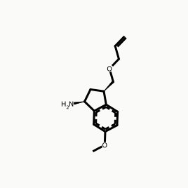 C=CCOC[C@@H]1C[C@H](N)c2cc(OC)ccc21